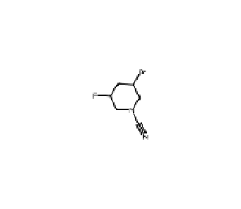 N#CN1CC(F)CC(Br)C1